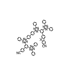 CC1(C)c2cc(C#N)ccc2-c2ccc(-c3cc(-c4nc(-c5ccccc5)nc(-c5ccccc5)n4)cc(-c4nc(-c5ccccc5)nc(-c5ccc(-c6ccc(-c7nc(-c8ccccc8)nc(-c8cc(-c9ccc(C#N)cc9)cc(-c9nc(-c%10ccccc%10)nc(-c%10ccccc%10)n9)c8)n7)cc6)cc5)n4)c3)cc21